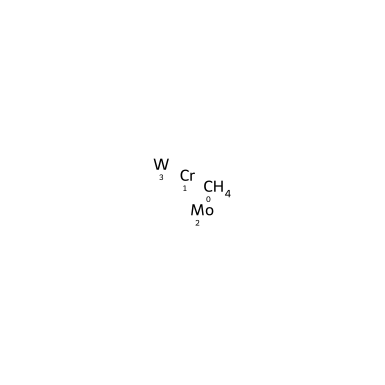 C.[Cr].[Mo].[W]